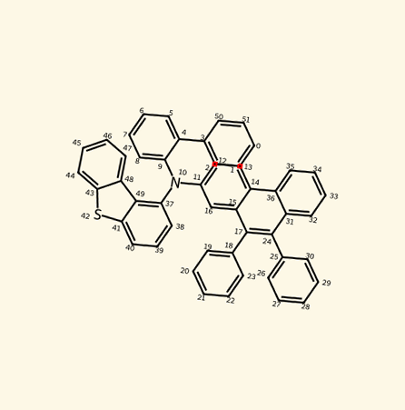 c1ccc(-c2ccccc2N(c2ccc3c(c2)c(-c2ccccc2)c(-c2ccccc2)c2ccccc23)c2cccc3sc4ccccc4c23)cc1